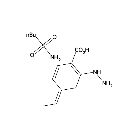 CC=C1C=CC(C(=O)O)=C(NN)C1.CCCCS(N)(=O)=O